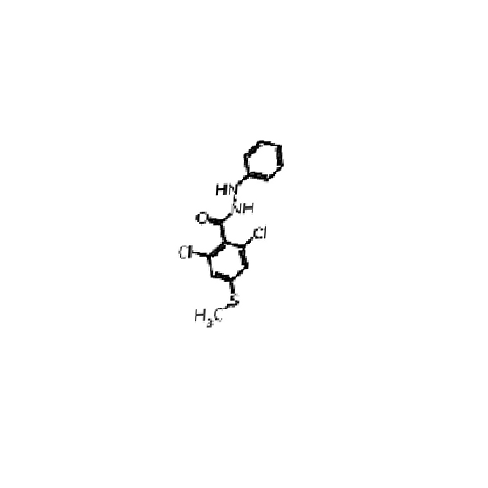 CSc1cc(Cl)c(C(=O)NNc2ccccc2)c(Cl)c1